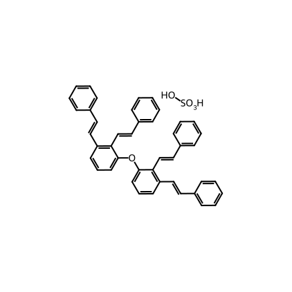 C(=Cc1cccc(Oc2cccc(C=Cc3ccccc3)c2C=Cc2ccccc2)c1C=Cc1ccccc1)c1ccccc1.O=S(=O)(O)O